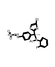 CCc1csc([C@](C)(c2ccc(NO[SH](=O)=O)cc2)N(C(C)=O)c2ccccc2F)n1